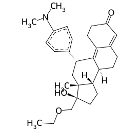 CCOC[C@@]1(O)CC[C@H]2[C@@H]3CCC4=CC(=O)CCC4=C3[C@@H](c3ccc(N(C)C)cc3)C[C@]21C